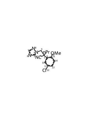 CCCC(C#N)(Cn1cncn1)c1cc(Cl)ccc1OC